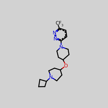 FC(F)(F)c1ccc(N2CCC(OC3CCN(C4CCC4)CC3)CC2)nn1